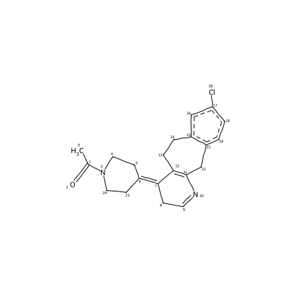 CC(=O)N1CCC(=C2CC=NC3=C2CCc2cc(Cl)ccc2C3)CC1